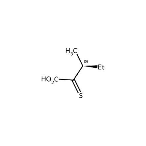 CC[C@H](C)C(=S)C(=O)O